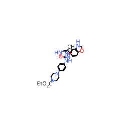 CCOC(=O)N1CCN(c2ccc(NC34N=CC(C)=C(NO3)N4c3ccc4c(c3)NCO4)cc2)CC1